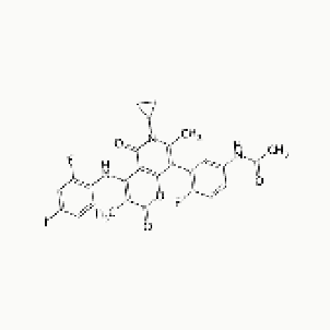 CC(=O)Nc1ccc(F)c(-c2c(C)n(C3CC3)c(=O)c3c(Nc4ccc(I)cc4F)c(C)c(=O)oc23)c1